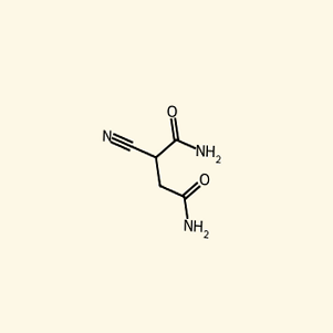 N#CC(CC(N)=O)C(N)=O